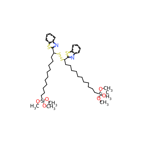 CO[Si](CCCCCCCCCCCC(SSC(CCCCCCCCCCC[Si](OC)(OC)OC)c1nc2ccccc2s1)c1nc2ccccc2s1)(OC)OC